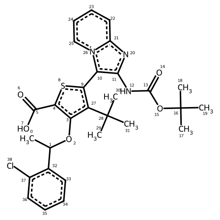 CC(Oc1c(C(=O)O)sc(-c2c(NC(=O)OC(C)(C)C)nc3ccccn23)c1C(C)(C)C)c1ccccc1Cl